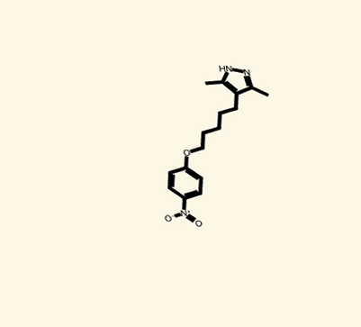 Cc1n[nH]c(C)c1CCCCCOc1ccc([N+](=O)[O-])cc1